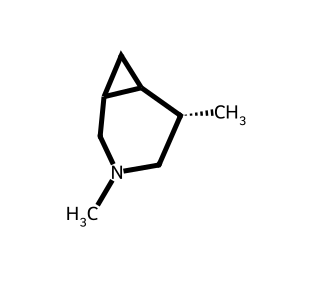 C[C@@H]1CN(C)CC2CC21